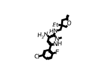 C=C1CC(CC)(CNC2=C(N)C=C(c3cc(Cl)ccc3F)NN2C)CO1